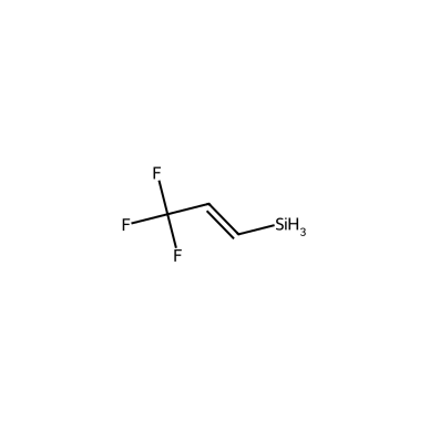 FC(F)(F)C=C[SiH3]